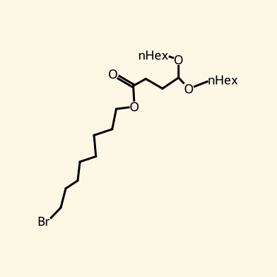 CCCCCCOC(CCC(=O)OCCCCCCCCBr)OCCCCCC